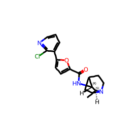 C[C@H]1[C@H](NC(=O)c2ccc(-c3cccnc3Cl)o2)C2CCN1CC2